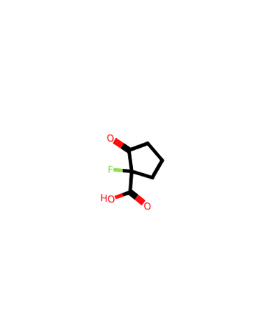 O=C(O)C1(F)CCCC1=O